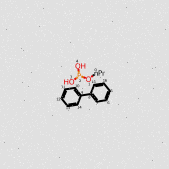 CCCOP(O)O.c1ccc(-c2ccccc2)cc1